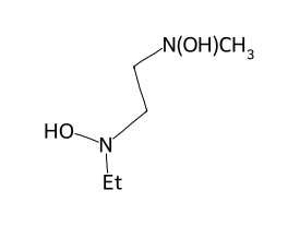 CCN(O)CCN(C)O